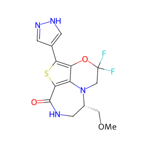 COC[C@@H]1CNC(=O)c2sc(-c3cn[nH]c3)c3c2N1CC(F)(F)O3